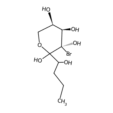 CCCC(O)C1(O)OC[C@@H](O)[C@@H](O)[C@@]1(O)Br